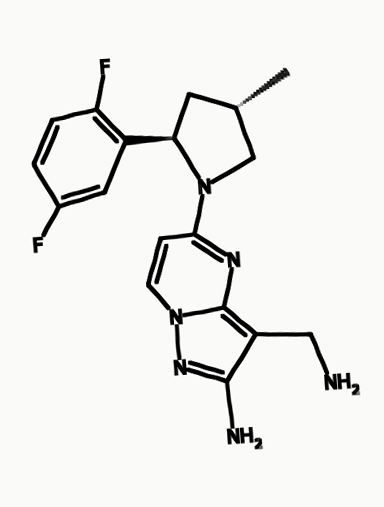 C[C@H]1C[C@H](c2cc(F)ccc2F)N(c2ccn3nc(N)c(CN)c3n2)C1